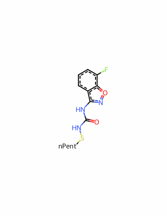 CCCCCSNC(=O)Nc1noc2c(F)cccc12